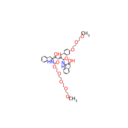 COCCOCCOCCOCCOC(=O)N[C@@H](Cc1ccccc1)[C@@H](O)C[C@@H](Cc1ccc(OCCOCCOC)cc1)C(=O)N[C@H]1c2ccccc2C[C@H]1O